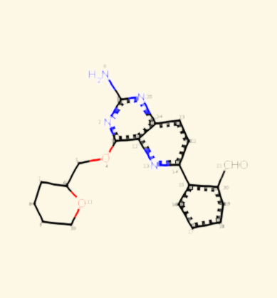 Nc1nc(OCC2CCCCO2)c2nc(-c3ccccc3C=O)ccc2n1